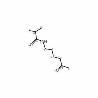 CC(=O)CSCCNC(=O)C(C)C